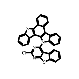 Clc1nc(-n2c3ccccc3c3c4ccccc4c4sc5ccccc5c4c32)c2c(n1)sc1ccccc12